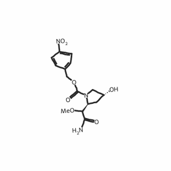 COC(C(N)=O)[C@@H]1C[C@@H](O)CN1C(=O)OCc1ccc([N+](=O)[O-])cc1